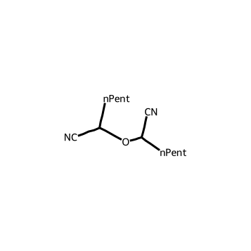 CCCCCC(C#N)OC(C#N)CCCCC